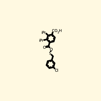 CC(C)c1c(C(=O)O)ccc(C(=O)OSCc2cccc(Cl)c2)c1C(C)C